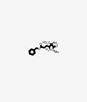 CC(C)(C)OC(=O)C(N)(C(=O)O)C(N)CCC(=O)OCc1ccccc1